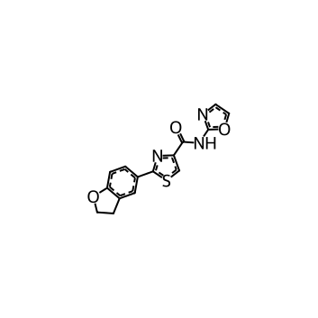 O=C(Nc1ncco1)c1csc(-c2ccc3c(c2)CCO3)n1